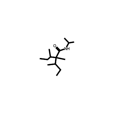 CCC(C)C(C)(C(=O)NC(C)C)C(C)CC